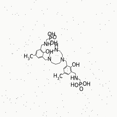 Cc1cc(CNCP(=O)(O)O)c(O)c(CN2CCCN(Cc3cc(C)cc(CNCP(=O)(O)O)c3O)CCNCC2)c1